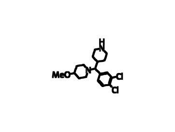 COC1CCN(C(c2ccc(Cl)c(Cl)c2)C2CCNCC2)CC1